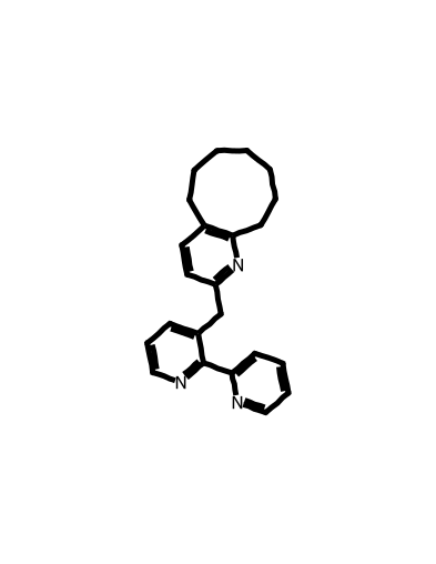 c1ccc(-c2ncccc2Cc2ccc3c(n2)CCCCCCC3)nc1